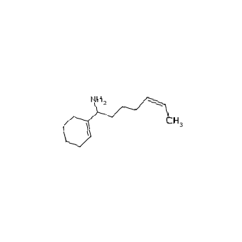 C/C=C\CCCC(N)C1=CCCCC1